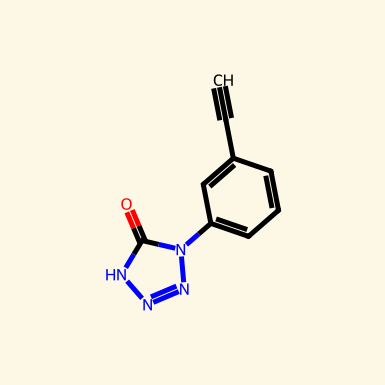 C#Cc1cccc(-n2nn[nH]c2=O)c1